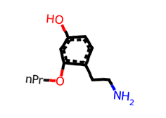 CCCOc1cc(O)ccc1CCN